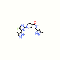 Cc1cnn(C)c1-c1nc(N2CCC(C(=O)N(C)Cc3cc(C)n(C)n3)CC2)ncc1F